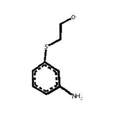 Nc1cccc(SCC[O])c1